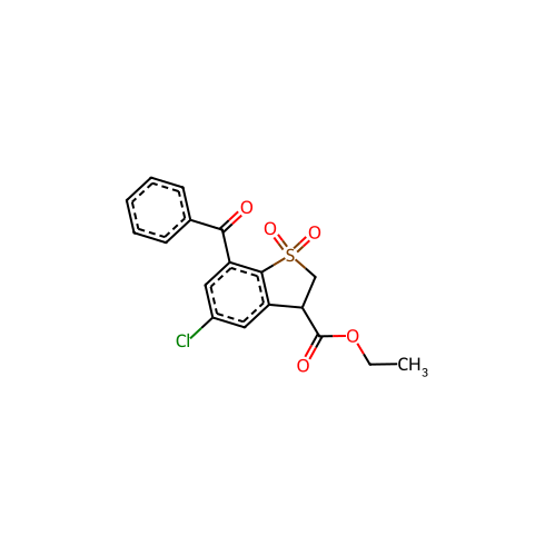 CCOC(=O)C1CS(=O)(=O)c2c(C(=O)c3ccccc3)cc(Cl)cc21